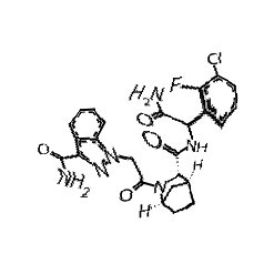 NC(=O)c1nn(CC(=O)N2[C@@H]3CC[C@@H](C3)[C@H]2C(=O)NC(C(N)=O)c2cccc(Cl)c2F)c2ccccc12